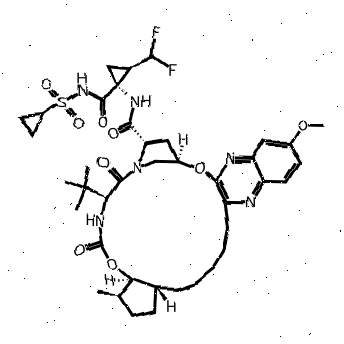 COc1ccc2nc3c(nc2c1)O[C@@H]1C[C@@H](C(=O)N[C@]2(C(=O)NS(=O)(=O)C4CC4)C[C@H]2C(F)F)N(C1)C(=O)[C@H](C(C)(C)C)NC(=O)O[C@H]1[C@H](CCCCC3)CC[C@H]1C